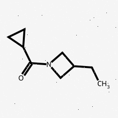 CCC1CN(C(=O)C2CC2)C1